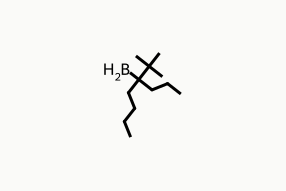 BC(CCC)(CCCC)C(C)(C)C